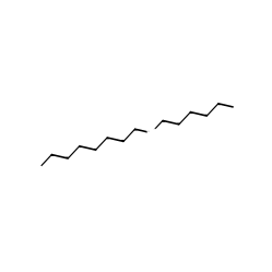 [CH2]CCCCCCCSCCCCCC